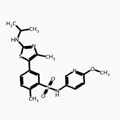 COc1ccc(NS(=O)(=O)c2cc(-c3sc(NC(C)C)nc3C)ccc2C)cn1